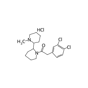 CN1CCCCC1C1CCCCN1C(=O)Cc1ccc(Cl)c(Cl)c1.Cl